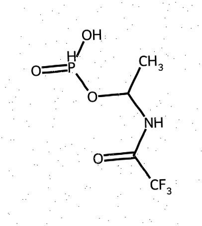 CC(NC(=O)C(F)(F)F)O[PH](=O)O